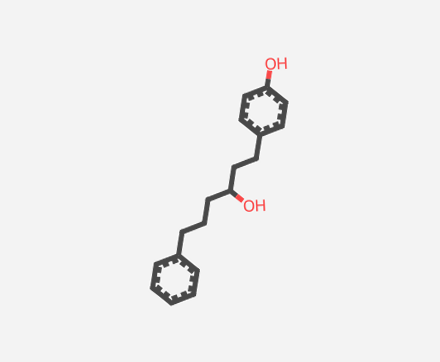 Oc1ccc(CCC(O)CCCc2ccccc2)cc1